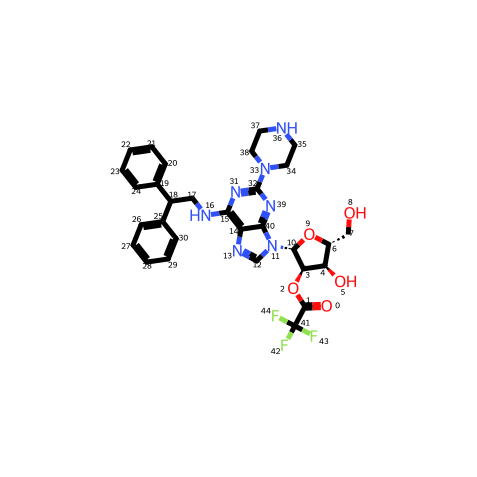 O=C(O[C@@H]1[C@H](O)[C@@H](CO)O[C@H]1n1cnc2c(NCC(c3ccccc3)c3ccccc3)nc(N3CCNCC3)nc21)C(F)(F)F